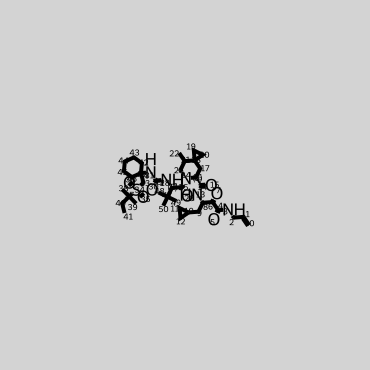 C=CCNC(=O)C(=O)C(CC1CC1)NC(=O)[C@@H]1CC2(CC2)C(C)CN1C(=O)[C@@H](NC(=O)NC1(CS(=O)(=O)C(C)(C)CC)CCCCC1)C(C)(C)C